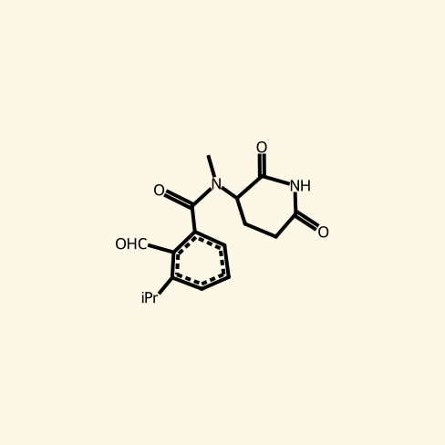 CC(C)c1cccc(C(=O)N(C)C2CCC(=O)NC2=O)c1C=O